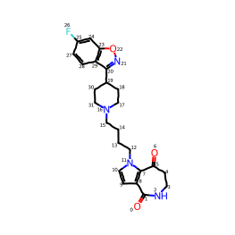 O=C1NCCC(=O)c2c1ccn2CCCCN1CCC(c2noc3cc(F)ccc23)CC1